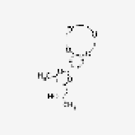 CC(O)CC1CC(C)OC(c2ccc3c(c2)OCCOCCCOCCO3)O1